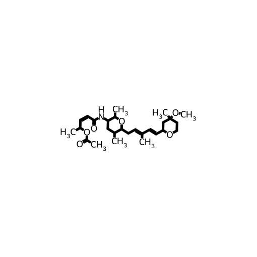 COC1(C)CCOC(/C=C/C(C)=C/CC2OC(C)C(NC(=O)/C=C\C(C)OC(C)=O)CC2C)C1